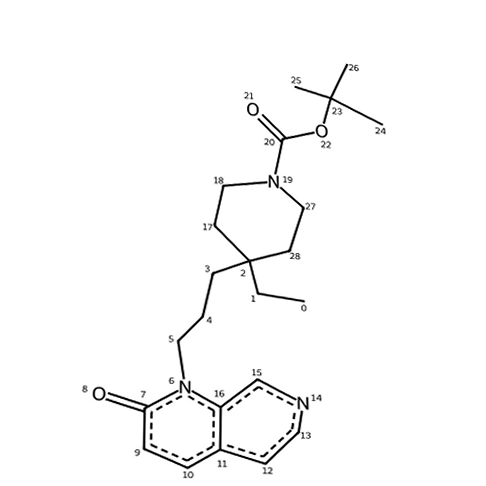 CCC1(CCCn2c(=O)ccc3ccncc32)CCN(C(=O)OC(C)(C)C)CC1